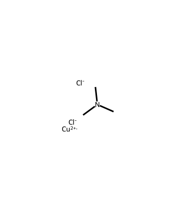 CN(C)C.[Cl-].[Cl-].[Cu+2]